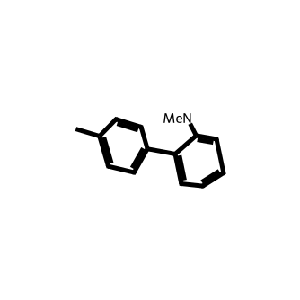 CNc1ccccc1-c1ccc(C)cc1